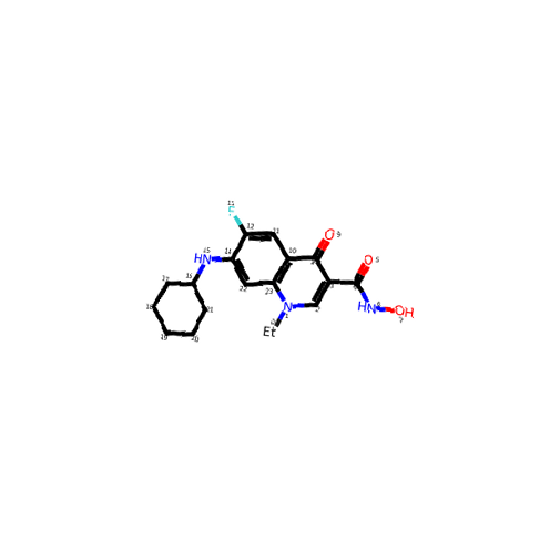 CCn1cc(C(=O)NO)c(=O)c2cc(F)c(NC3CCCCC3)cc21